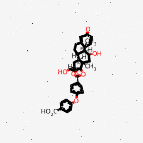 C[C@]12C=CC(=O)C=C1CC[C@@H]1[C@@H]2[C@@H](O)C[C@@]2(C)[C@H]1C[C@H]1O[C@H](c3ccc(Oc4ccc(C(=O)O)cc4)cc3)O[C@]12C(=O)CO